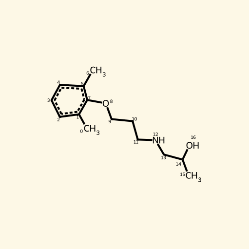 Cc1cccc(C)c1OCCCNCC(C)O